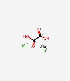 Cl.O=C(O)C(=O)O.[Cl-].[Na+]